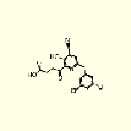 N#Cc1cc(Cc2cc(Cl)cc(Cl)c2)nc(C(=O)CCC(=O)O)c1O